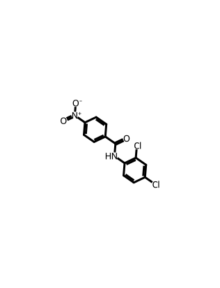 O=C(Nc1ccc(Cl)cc1Cl)c1ccc([N+](=O)[O-])cc1